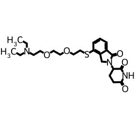 CCN(CC)CCOCCOCCSc1cccc2c1CN(C1CCC(=O)NC1=O)C2=O